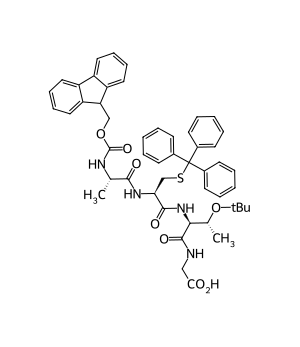 C[C@H](NC(=O)OCC1c2ccccc2-c2ccccc21)C(=O)N[C@@H](CSC(c1ccccc1)(c1ccccc1)c1ccccc1)C(=O)N[C@H](C(=O)NCC(=O)O)[C@@H](C)OC(C)(C)C